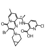 Cc1cc([C@@H](C)Nc2ccc(Cl)nc2C(=O)O)c2nc(N3CCC4CC4C3)c(Br)c(=O)n2c1